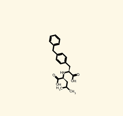 CC(C)C[C@H](N[C@@H](Cc1ccc(Cc2ccccc2)cc1)C(=O)O)C(=O)O